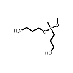 CO[Si](C)(CCCO)OCCCN